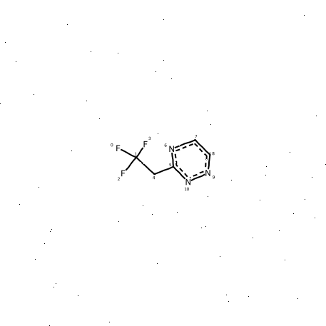 FC(F)(F)Cc1nc[c]nn1